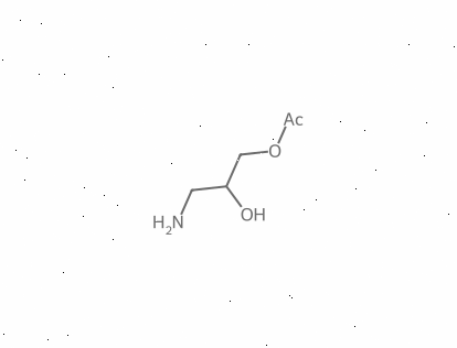 CC(=O)OCC(O)CN